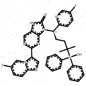 CC(C)(CC[C@H](c1ccc(F)cn1)n1c(=O)[nH]c2cnc(-c3cnc4ccc(F)cn34)nc21)[Si](O)(c1ccccc1)c1ccccc1